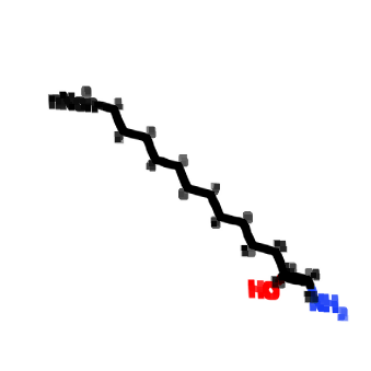 CCCCCCCCCCCCCCCCCCCCC(O)=CN